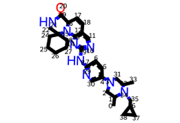 CC1CN(c2ccc(Nc3ncc4c(n3)N3C(C=C4)C(=O)NCC34CCCCC4)nc2)CC(C)N1CC1CC1